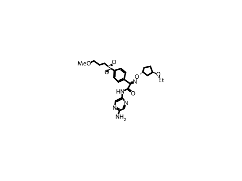 CCO[C@@H]1CC[C@@H](O/N=C(/C(=O)Nc2cnc(N)cn2)c2ccc(S(=O)(=O)CCCOC)cc2)C1